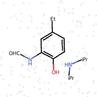 CC(C)NC(C)C.CCc1ccc(O)c(NC=O)c1